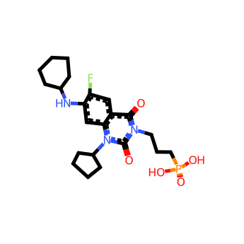 O=c1c2cc(F)c(NC3CCCCC3)cc2n(C2CCCC2)c(=O)n1CCCP(=O)(O)O